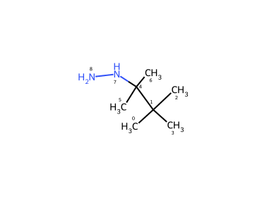 CC(C)(C)C(C)(C)NN